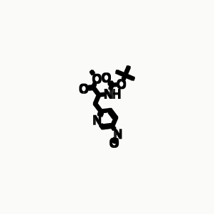 COC(=O)C(Cc1ccc(N=O)cn1)NC(=O)OC(C)(C)C